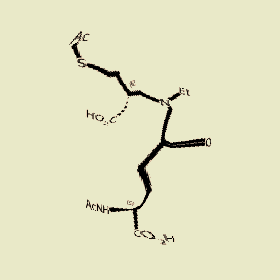 CCN(C(=O)CC[C@H](NC(C)=O)C(=O)O)[C@@H](CSC(C)=O)C(=O)O